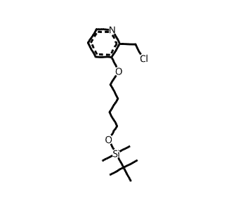 CC(C)(C)[Si](C)(C)OCCCCOc1cccnc1CCl